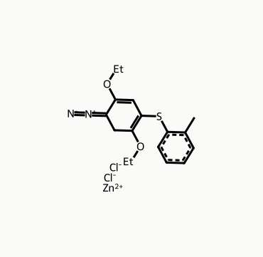 CCOC1=CC(Sc2ccccc2C)=C(OCC)CC1=[N+]=[N-].[Cl-].[Cl-].[Zn+2]